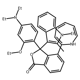 CCOc1cc(N(CC)CC)ccc1C1(c2c(C)n(CC)c3ccccc23)OC(=O)c2cccc(C3=CC=CC=CN3)c21